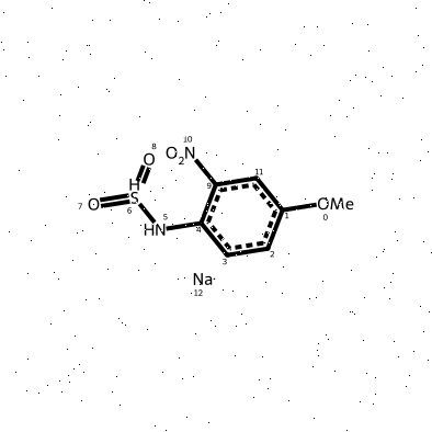 COc1ccc(N[SH](=O)=O)c([N+](=O)[O-])c1.[Na]